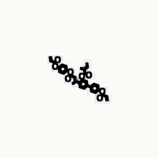 C=CC(=O)Oc1ccc(OC(=O)/C=C(\C)c2ccc(-c3ccc(OC(=O)C=C)cc3)cc2OC(=O)/C(C)=C/C)cc1